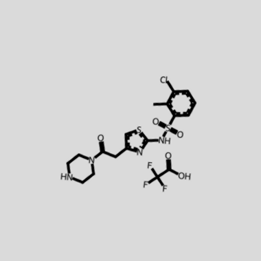 Cc1c(Cl)cccc1S(=O)(=O)Nc1nc(CC(=O)N2CCNCC2)cs1.O=C(O)C(F)(F)F